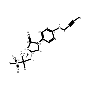 CC#CCOc1ccc(N2C[C@H](CC(C)(C(=O)O)S(C)(=O)=O)OC2=O)cc1